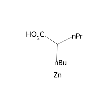 CCCCC(CCC)C(=O)O.[Zn]